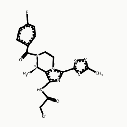 Cc1nsc(-c2nc(NC(=O)CCl)c3n2CCN(C(=O)c2ccc(F)cc2)[C@@H]3C)n1